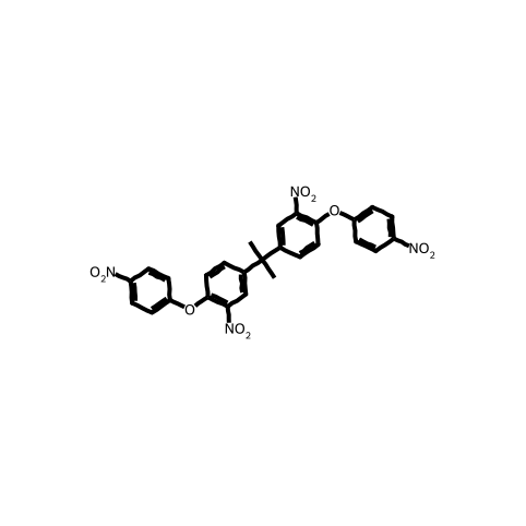 CC(C)(c1ccc(Oc2ccc([N+](=O)[O-])cc2)c([N+](=O)[O-])c1)c1ccc(Oc2ccc([N+](=O)[O-])cc2)c([N+](=O)[O-])c1